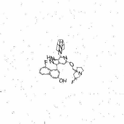 Oc1cc(-c2n[nH]c3c(N4CC5CCC(C4)N5)nc(OC[C@@]45CCCN4C[C@H](F)C5)cc23)c2c(F)cccc2c1